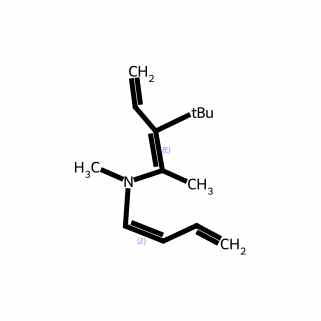 C=C/C=C\N(C)/C(C)=C(\C=C)C(C)(C)C